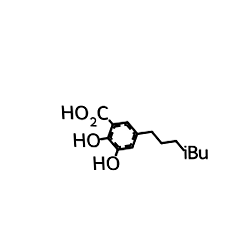 CCC(C)CCCc1cc(O)c(O)c(C(=O)O)c1